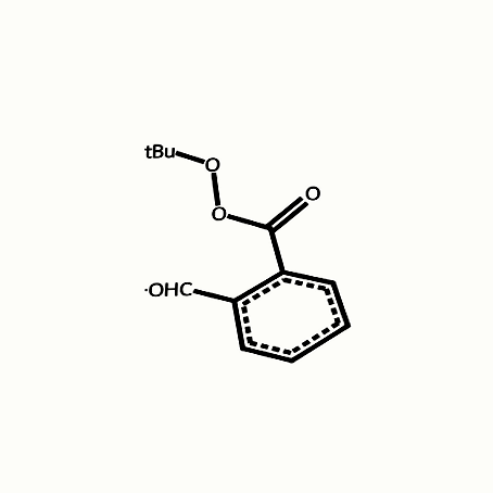 CC(C)(C)OOC(=O)c1ccccc1[C]=O